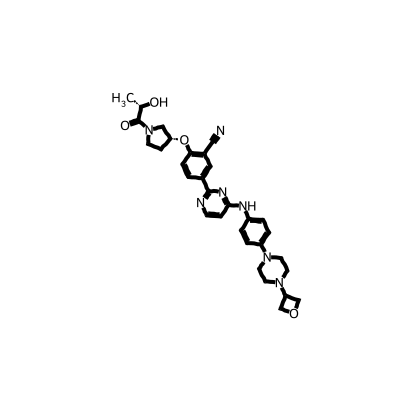 C[C@H](O)C(=O)N1CC[C@@H](Oc2ccc(-c3nccc(Nc4ccc(N5CCN(C6COC6)CC5)cc4)n3)cc2C#N)C1